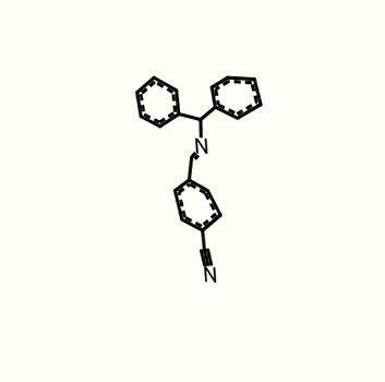 N#Cc1ccc(/C=N/C(c2ccccc2)c2ccccc2)cc1